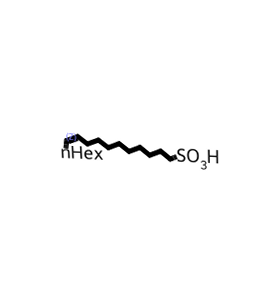 CCCCCC/C=C\CCCCCCCCCS(=O)(=O)O